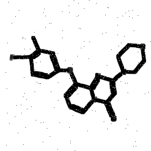 Cc1cc(Oc2cccn3c(=O)cc(N4CCOCC4)nc23)ccc1F